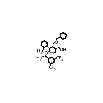 Cc1ccccc1[C@@H]1C(O[C@H](C)c2cc(C(F)(F)F)cc(C(F)(F)F)c2)OC[C@H](CO)[C@H]1COCc1ccccc1